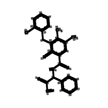 COC(=O)C(NC(=O)c1cc(C)c(C)n(Cc2ccccc2Cl)c1=O)c1ccccc1